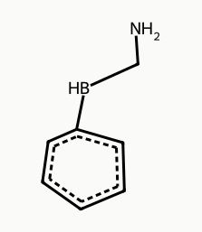 NCBc1ccccc1